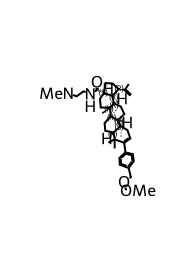 C=C(C)[C@@H]1CC[C@]2(C(=O)NCCNC)CC[C@]3(C)[C@H](CC[C@@H]4[C@@]5(C)CC=C(c6ccc(COOC)cc6)C(C)(C)[C@@H]5CC[C@]43C)[C@@H]12